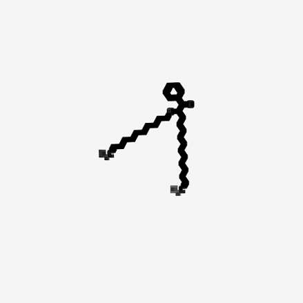 C=CCCCCCCCCCCC(OCCCCCCCCCC=C)C(=O)c1ccccc1